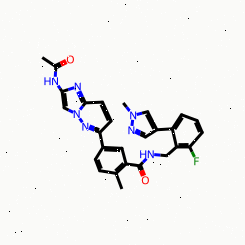 CC(=O)Nc1cn2nc(-c3ccc(C)c(C(=O)NCc4c(F)cccc4-c4cnn(C)c4)c3)ccc2n1